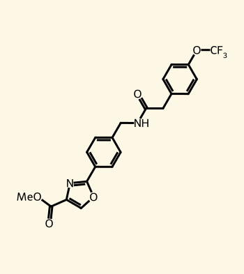 COC(=O)c1coc(-c2ccc(CNC(=O)Cc3ccc(OC(F)(F)F)cc3)cc2)n1